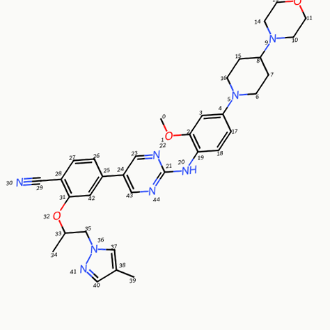 COc1cc(N2CCC(N3CCOCC3)CC2)ccc1Nc1ncc(-c2ccc(C#N)c(OC(C)Cn3cc(C)cn3)c2)cn1